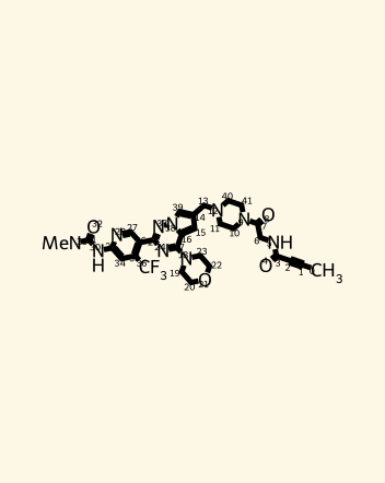 CC#CC(=O)NCC(=O)N1CCN(Cc2cc3c(N4CCOCC4)nc(-c4cnc(NC(=O)NC)cc4C(F)(F)F)nn3c2)CC1